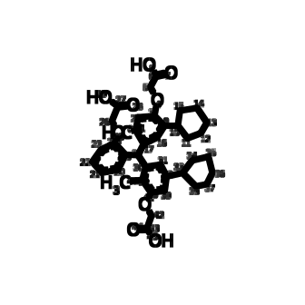 Cc1cc(OCC(=O)O)c(C2CCCCC2)cc1C(c1ccccc1OCC(=O)O)c1cc(C2CCCCC2)cc(OCC(=O)O)c1C